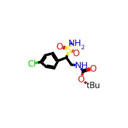 CC(C)(C)OC(=O)NCC(c1ccc(Cl)cc1)S(N)(=O)=O